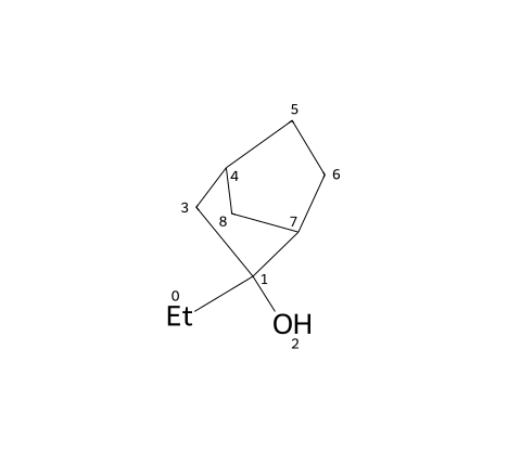 CCC1(O)CC2CCC1C2